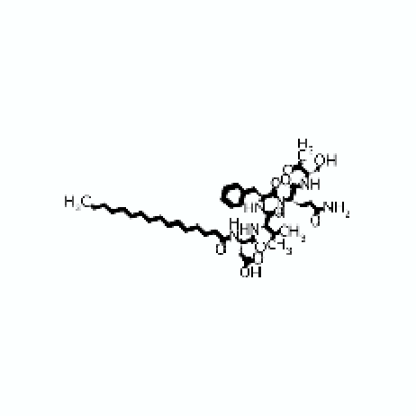 CCCCCCCCCCCCCCCC(=O)N[C@@H](CC(=O)O)C(=O)N[C@H](C(=O)N[C@@H](Cc1ccccc1)C(=O)N[C@@H](CCC(N)=O)C(=O)N[C@@H](CO)C(C)=O)C(C)C